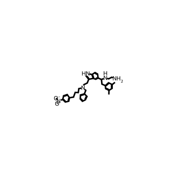 Cc1cc(C)cc(CC(NCCN)c2ccc3[nH]cc(CCN(CCCCc4ccc([N+](=O)[O-])cc4)Cc4ccccc4)c3c2)c1